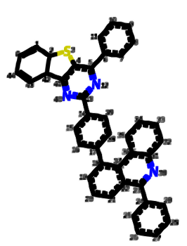 C1=CC2Sc3c(-c4ccccc4)nc(-c4ccc(-c5cccc6c(-c7ccccc7)nc7ccccc7c56)cc4)nc3C2C=C1